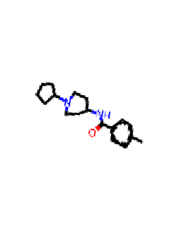 Cc1ccc(C(=O)NC2CCN(C3CCCC3)CC2)cc1